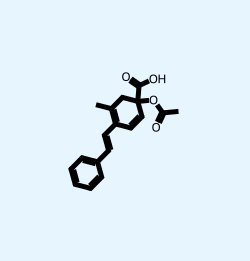 CC(=O)OC1(C(=O)O)C=CC(C=Cc2ccccc2)=C(C)C1